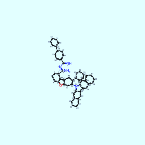 N=C(/N=C(\N)c1cccc2oc3cc(-n4c5cc6ccccc6cc5c5cc6ccccc6cc54)c(-c4ccccc4)cc3c12)c1ccc(-c2ccccc2)cc1